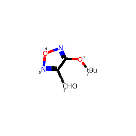 CC(C)(C)Oc1nonc1C=O